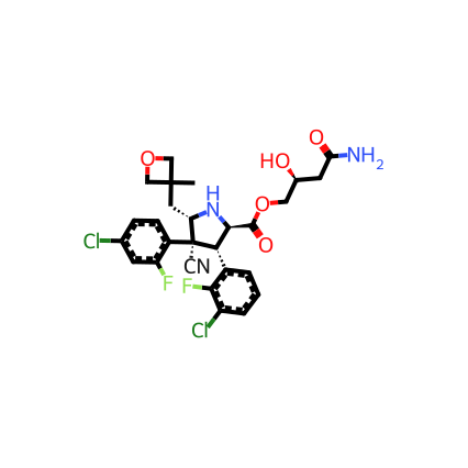 CC1(C[C@@H]2N[C@@H](C(=O)OC[C@@H](O)CC(N)=O)[C@H](c3cccc(Cl)c3F)[C@@]2(C#N)c2ccc(Cl)cc2F)COC1